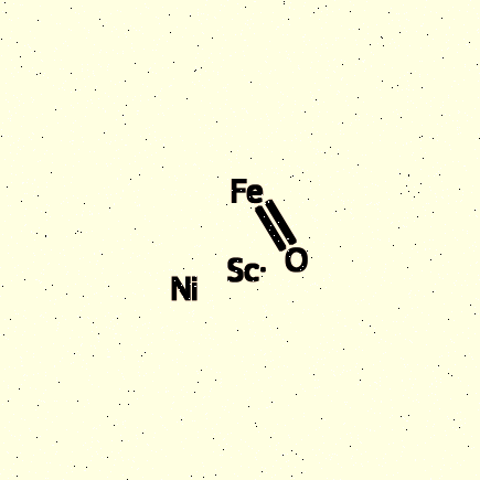 [Ni].[O]=[Fe].[Sc]